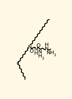 CCCCCCCC/C=C\CCCCCCCCN(CCCCCCCCCCCCCCCC)C(=O)CNC(=O)C(N)CCNC(C)N